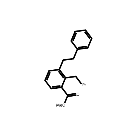 COC(=O)c1cccc(CCc2ccccc2)c1CC(C)C